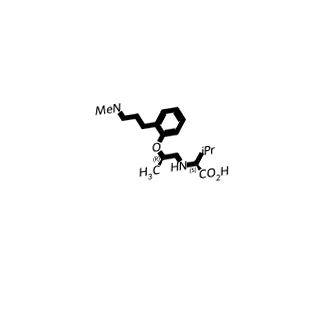 CNCCCc1ccccc1O[C@H](C)CN[C@H](C(=O)O)C(C)C